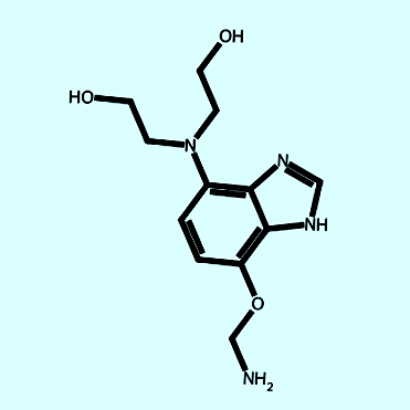 NCOc1ccc(N(CCO)CCO)c2nc[nH]c12